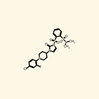 CN(C)S(=O)(=O)c1ccccc1S(=O)(=O)n1ccn(C2CCN(c3ccc(Cl)cc3F)CC2)c1=O